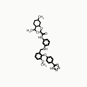 COc1cccc(CNc2cccc(NC(=O)COC3CC(C)CCC3C(C)C)c2)c1Oc1ccc(-c2nnn[nH]2)cc1